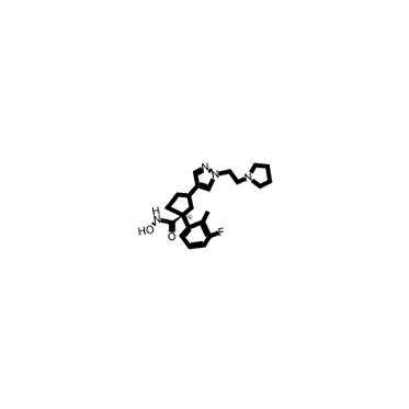 Cc1c(F)cccc1[C@]1(C(=O)NO)CCC(c2cnn(CCN3CCCC3)c2)C1